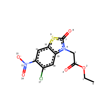 CCOC(=O)Cn1c(=O)sc2cc([N+](=O)[O-])c(Cl)cc21